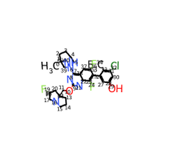 C[C@]12CCC(CN(c3nc(OC[C@@]45CCCN4C[C@H](F)C5)nc4c(F)c(-c5cc(O)cc(Cl)c5C(F)(F)F)c(F)cc34)C1)N2